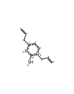 C=CCc1cc[n+](CC=C)c(S)n1